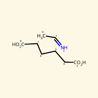 CC=N.O=C(O)CCCCC(=O)O